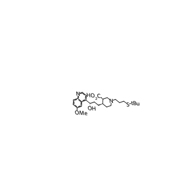 COc1ccc2nccc([C@@H](O)CC[C@@H]3CCN(CCCSC(C)(C)C)C[C@@H]3C(=O)O)c2c1